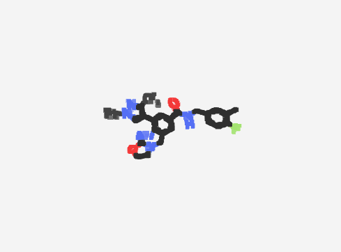 CCn1cc(-c2cc(CN3CCOC3=N)cc(C(=O)NCc3ccc(F)c(C)c3)c2)c(C(F)(F)F)n1